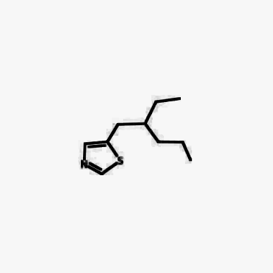 CCCC(CC)Cc1cncs1